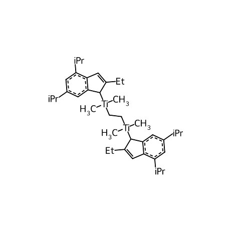 CCC1=Cc2c(C(C)C)cc(C(C)C)cc2[CH]1[Ti]([CH3])([CH3])[CH2][CH2][Ti]([CH3])([CH3])[CH]1C(CC)=Cc2c(C(C)C)cc(C(C)C)cc21